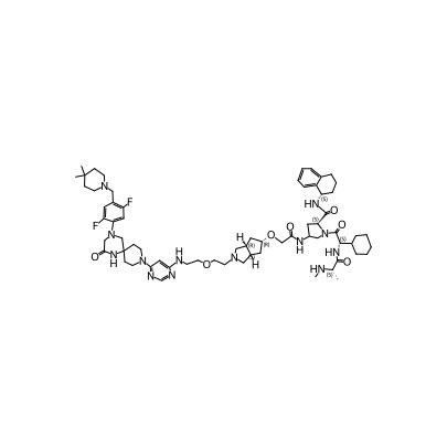 CN[C@@H](C)C(=O)N[C@H](C(=O)N1CC(NC(=O)CO[C@@H]2C[C@@H]3CN(CCOCCNc4cc(N5CCC6(CC5)CN(c5cc(F)c(CN7CCC(C)(C)CC7)cc5F)CC(=O)N6)ncn4)C[C@@H]3C2)C[C@H]1C(=O)N[C@H]1CCCc2ccccc21)C1CCCCC1